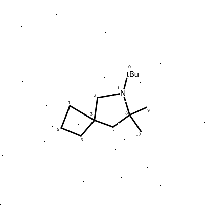 CC(C)(C)N1CC2(CCC2)CC1(C)C